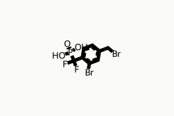 O=P(O)(O)C(F)(F)c1ccc(CBr)cc1Br